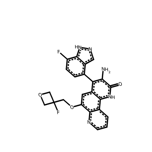 Nc1c(-c2ccc(F)c3[nH]ncc23)c2cc(OCC3(F)COC3)c3ncccc3c2[nH]c1=O